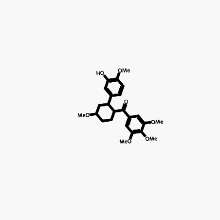 COc1ccc(C2CC(OC)CCC2C(=O)c2cc(OC)c(OC)c(OC)c2)cc1O